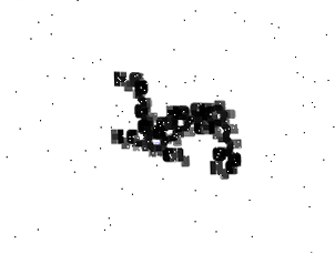 CC[C@H](/C=C(/C)[C@@H](O)C[C@H](C[C@H](O)C(C)(C)c1cccc(CCCC(=O)OC)c1)OC)COCOCCOC